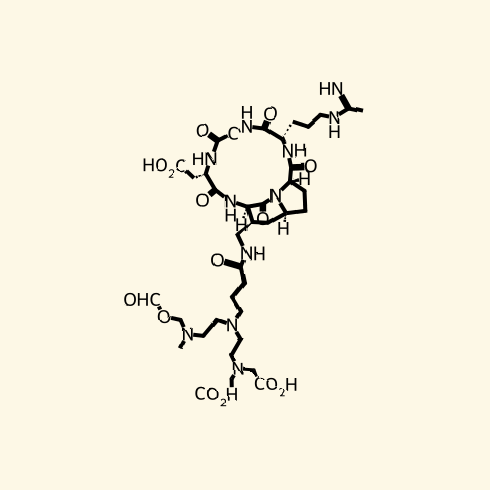 CC(=N)NCCC[C@@H]1NC(=O)[C@@H]2CC[C@H]3C[C@@H](CNC(=O)CCCN(CCN(C)COC=O)CCN(CC(=O)O)CC(=O)O)[C@@H](NC(=O)[C@H](CC(=O)O)NC(=O)CNC1=O)C(=O)N32